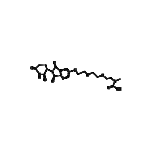 CN(CCOCCOCCOc1ccc2c(c1)C(=O)N(C1CCC(=O)NC1=O)C2=O)C(=O)O